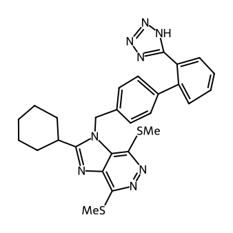 CSc1nnc(SC)c2c1nc(C1CCCCC1)n2Cc1ccc(-c2ccccc2-c2nnn[nH]2)cc1